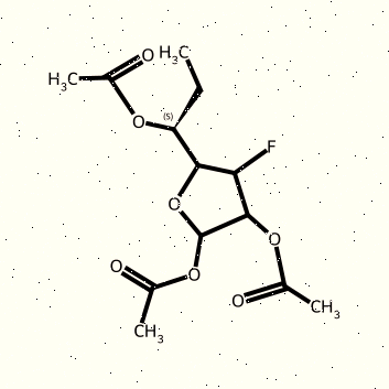 CC[C@H](OC(C)=O)C1OC(OC(C)=O)C(OC(C)=O)C1F